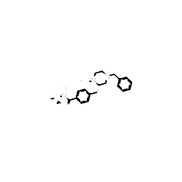 CC(=O)N1CCN(Cc2ccccc2)C[C@H]1Cc1ccc(C(=O)NS(C)(=O)=O)cc1